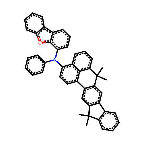 CC1(C)c2ccccc2-c2cc3c(cc21)-c1ccc(N(c2ccccc2)c2cccc4c2oc2ccccc24)c2cccc(c12)C3(C)C